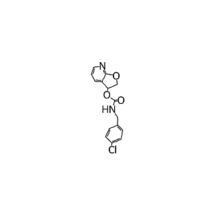 O=C(NCc1ccc(Cl)cc1)OC1COc2ncccc21